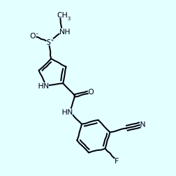 CN[S+]([O-])c1c[nH]c(C(=O)Nc2ccc(F)c(C#N)c2)c1